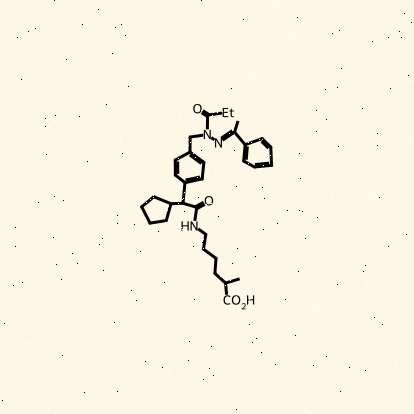 CCC(=O)N(Cc1ccc(C(C(=O)NCCCCC(C)C(=O)O)C2CCCC2)cc1)/N=C(\C)c1ccccc1